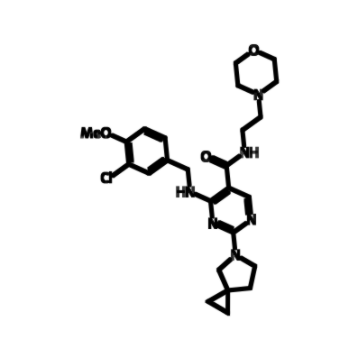 COc1ccc(CNc2nc(N3CCC4(CC4)C3)ncc2C(=O)NCCN2CCOCC2)cc1Cl